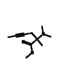 CC#CCC(C)(C(=O)OC)N(C)C